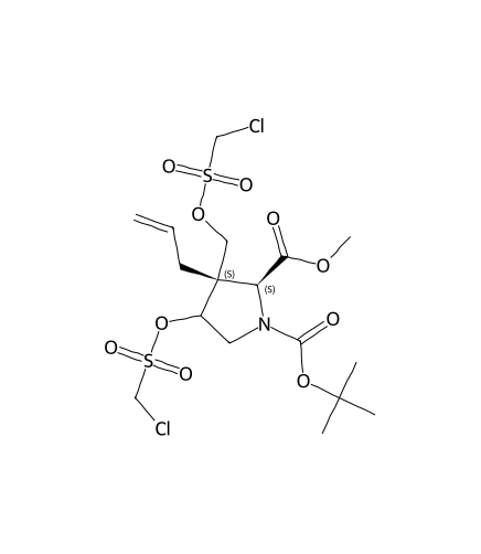 C=CC[C@]1(COS(=O)(=O)CCl)C(OS(=O)(=O)CCl)CN(C(=O)OC(C)(C)C)[C@@H]1C(=O)OC